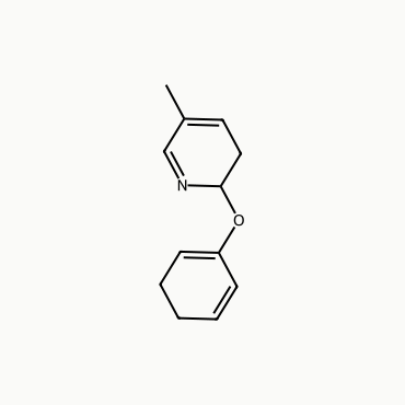 CC1=CCC(OC2=CCCC=C2)N=C1